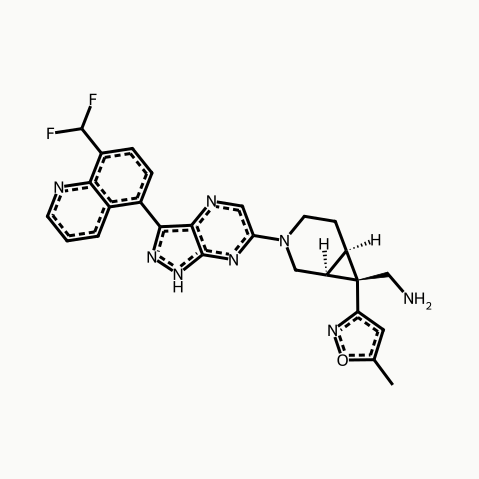 Cc1cc([C@@]2(CN)[C@@H]3CCN(c4cnc5c(-c6ccc(C(F)F)c7ncccc67)n[nH]c5n4)C[C@@H]32)no1